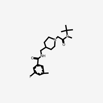 Cc1cc(I)cc(C(=O)NCC2CCN(CC(=O)N(C)C(C)(C)C)CC2)c1